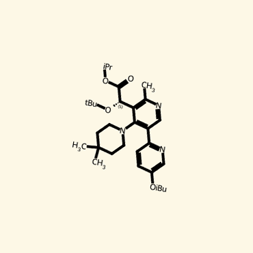 Cc1ncc(-c2ccc(OCC(C)C)cn2)c(N2CCC(C)(C)CC2)c1[C@H](OC(C)(C)C)C(=O)OC(C)C